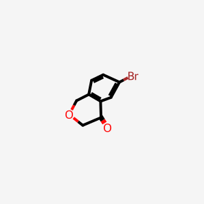 O=C1COCc2ccc(Br)cc21